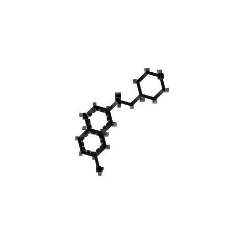 Brc1ccc2ncc(NCC3CCOCC3)cc2c1